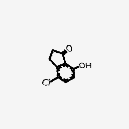 O=C1CCc2c(Cl)ccc(O)c21